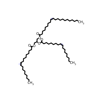 CCCCCCCC/C=C\CCCCCCCC(=O)OCC(COC(=O)CCCCCCC/C=C\CCCCCCCCCCC)OC(=O)CCCCCCC/C=C\CCCCCCCC